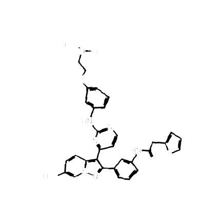 Cc1ccc2c(-c3ccnc(Nc4cccc(OCCN(C)C)c4)n3)c(-c3cccc(NC(=O)Cc4cccs4)c3)nn2c1